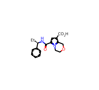 CC[C@@H](NC(=O)c1cc(C(=O)O)c2n1CCOC2)c1ccccc1